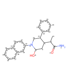 CC(C(N)=O)C1CC(O)N(c2ccc3ccccc3c2)CC1c1ccccc1